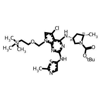 Cc1ncc(Nc2nc(N[C@@H]3C[C@H](C)N(C(=O)OC(C)(C)C)C3)c3c(Cl)cn(COCC[Si](C)(C)C)c3n2)s1